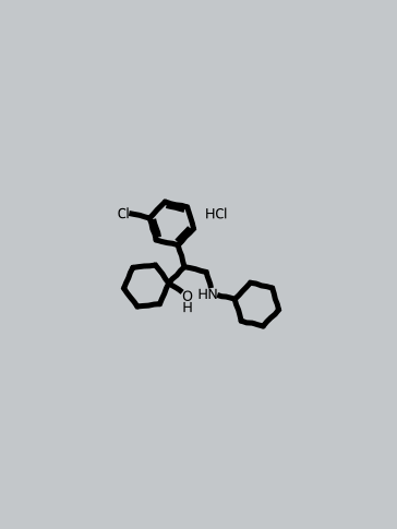 Cl.OC1(C(CNC2CCCCC2)c2cccc(Cl)c2)CCCCC1